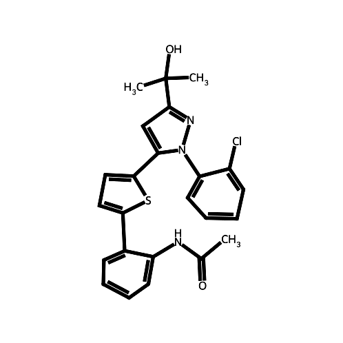 CC(=O)Nc1ccccc1-c1ccc(-c2cc(C(C)(C)O)nn2-c2ccccc2Cl)s1